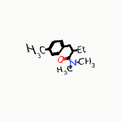 CCC(Cc1ccc(C)cc1)C(=O)N(C)C